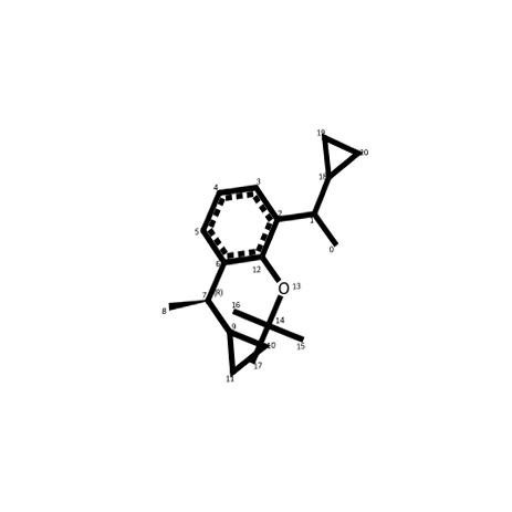 CC(c1cccc([C@H](C)C2CC2)c1OC(C)(C)C)C1CC1